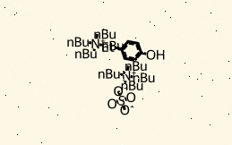 CCCC[N+](CCCC)(CCCC)CCCC.CCCC[N+](CCCC)(CCCC)CCCC.CCc1ccc(O)cc1.O=S(=O)([O-])[O-]